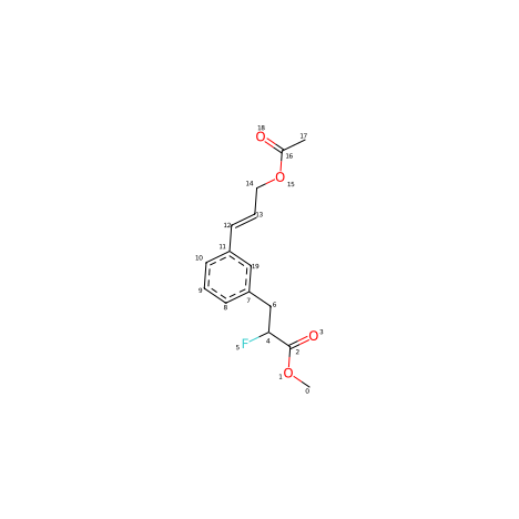 COC(=O)C(F)Cc1cccc(C=CCOC(C)=O)c1